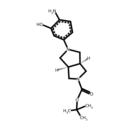 CC(C)(C)OC(=O)N1C[C@@H]2CN(c3ccc(N)c(O)c3)C[C@@H]2C1